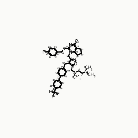 CN(C)CCN(C)Cc1onc(Cn2c(SCc3ccc(F)cc3)nc(=O)c3c2CCC3)c1Cc1ccc(-c2ccc(C(F)(F)F)cc2)cc1